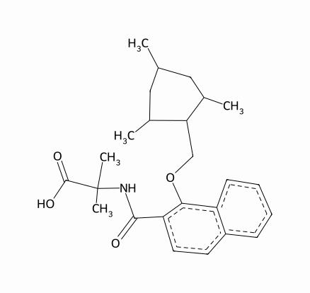 CC1CC(C)C(COc2c(C(=O)NC(C)(C)C(=O)O)ccc3ccccc23)C(C)C1